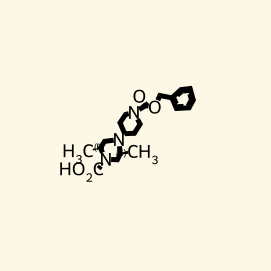 C[C@@H]1CN(C2CCN(C(=O)OCc3ccccc3)CC2)[C@@H](C)CN1C(=O)O